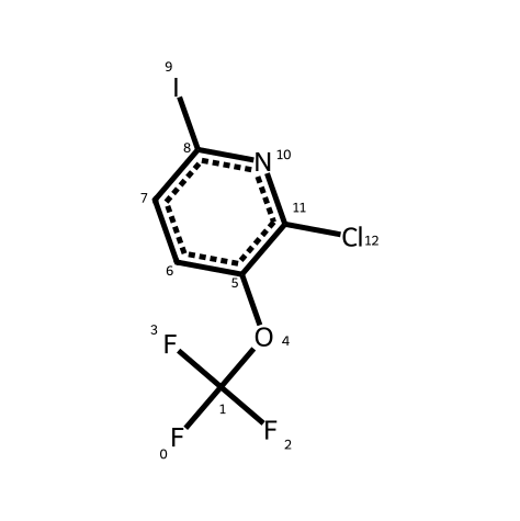 FC(F)(F)Oc1ccc(I)nc1Cl